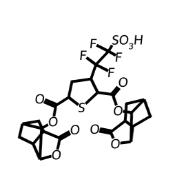 O=C(OC1C2CC3C(=O)OC1C3C2)C1CC(C(F)(F)C(F)(F)S(=O)(=O)O)C(C(=O)OC2C3CC4C(=O)OC2C4C3)S1